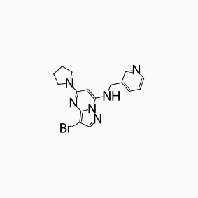 Brc1cnn2c(NCc3cccnc3)cc(N3CCCC3)nc12